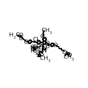 C=CC(=O)OCCCOc1ccc(C#Cc2ccc(-c3c(N(CCCCS(=O)(=O)OC)c4cc(-c5sc6c(C)csc6c5C)ncn4)cc(OC(=O)c4ccc(OCCCCCCOCC5(CC)COC5)cc4)c4ccc(OCCCC)cc34)cc2Cl)cc1